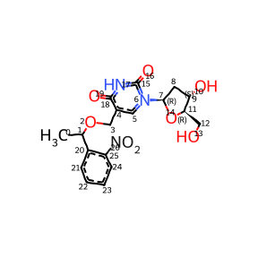 CC(OCc1cn([C@H]2C[C@H](O)[C@@H](CO)O2)c(=O)[nH]c1=O)c1ccccc1[N+](=O)[O-]